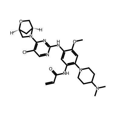 C=CC(=O)Nc1cc(Nc2ncc(Cl)c(N3C[C@@H]4C[C@H]3CO4)n2)c(OC)cc1N1CCC(N(C)C)CC1